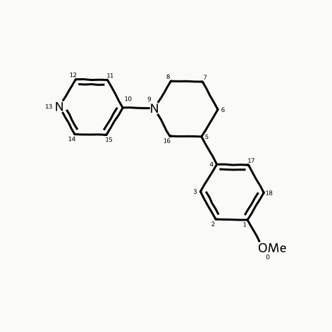 COc1ccc(C2CCCN(c3ccncc3)C2)cc1